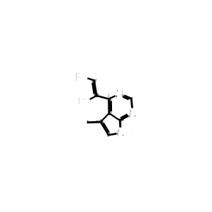 CC/C=C(\CCC)c1ncnc2[nH]cc(C)c12